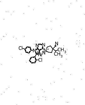 CC(C)C1(C#N)CC[N+](N)(c2ncnc3c2nc(-c2ccccc2Cl)n3-c2ccc(Cl)cc2)CC1